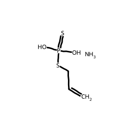 C=CCSP(O)(O)=S.N